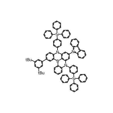 CC(C)(C)c1cc(-c2ccc3c(c2)B2c4ccccc4N(c4cccc([Si](c5ccccc5)(c5ccccc5)c5ccccc5)c4)c4cc(-n5c6ccccc6c6ccccc65)cc(c42)N3c2ccc([Si](c3ccccc3)(c3ccccc3)c3ccccc3)cc2)cc(C(C)(C)C)c1